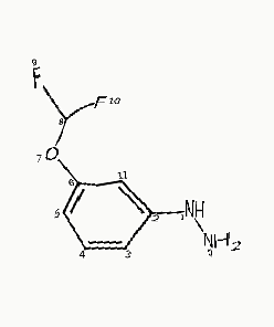 NNc1cccc(OC(F)F)c1